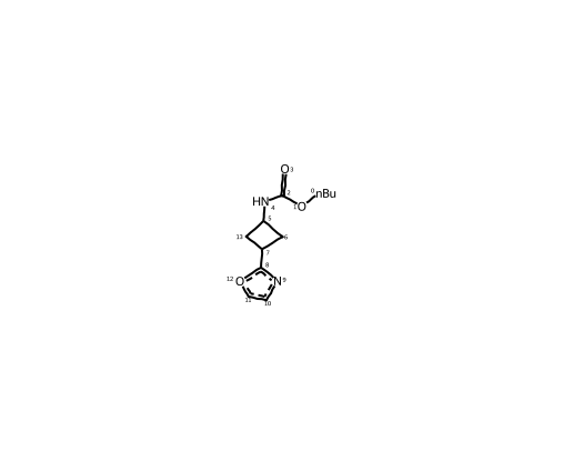 CCCCOC(=O)NC1CC(c2ncco2)C1